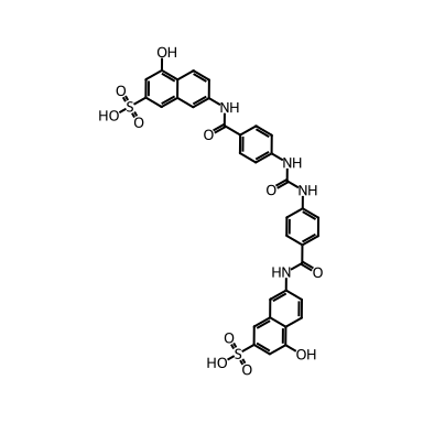 O=C(Nc1ccc(C(=O)Nc2ccc3c(O)cc(S(=O)(=O)O)cc3c2)cc1)Nc1ccc(C(=O)Nc2ccc3c(O)cc(S(=O)(=O)O)cc3c2)cc1